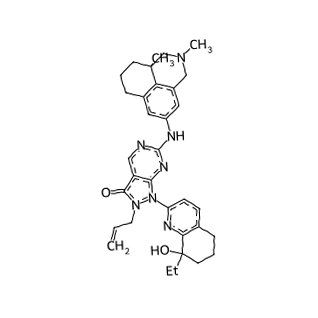 C=CCn1c(=O)c2cnc(Nc3cc4c5c(c3)CN(C)CC5(C)CCC4)nc2n1-c1ccc2c(n1)C(O)(CC)CCC2